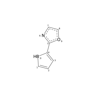 B1C=CC=C1c1ncco1